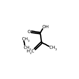 C=C(C)C(=O)O.CC